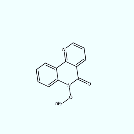 CCCOn1c(=O)c2cccnc2c2ccccc21